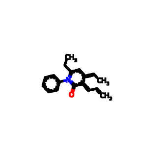 C=C/C=c1/c(=O)n(-c2ccccc2)c(CC)c/c1=C/C